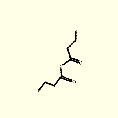 O=C(CCI)SC(=O)CCI